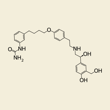 NC(=O)Nc1cccc(CCCCOc2ccc(CCNC[C@@H](O)c3ccc(O)c(CO)c3)cc2)c1